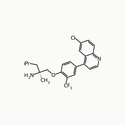 CC(C)C[C@](C)(N)COc1ccc(-c2ccnc3ccc(Cl)cc23)cc1C(F)(F)F